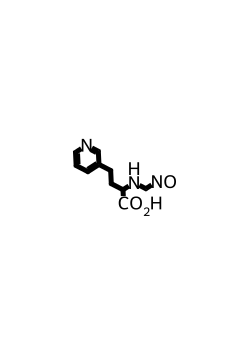 O=NCNC(CCc1cccnc1)C(=O)O